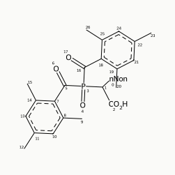 CCCCCCCCCC(C(=O)O)P(=O)(C(=O)c1c(C)cc(C)cc1C)C(=O)c1c(C)cc(C)cc1C